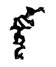 CCOc1ccc(-c2nsc(NC(=O)[C@@H]3CC3C)c2Br)cc1